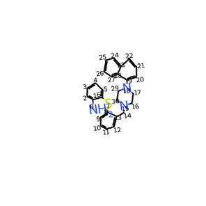 Nc1ccccc1Sc1ccccc1CN1CCN(c2cccc3ccccc23)CC1